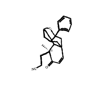 C[C@@]1(CCC#N)C(=O)C=CC23CC4CC(OC4(c4ccccc4)C2)C31